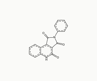 O=C1c2c(c3ccccc3[nH]c2=O)C(=O)N1c1ccccc1